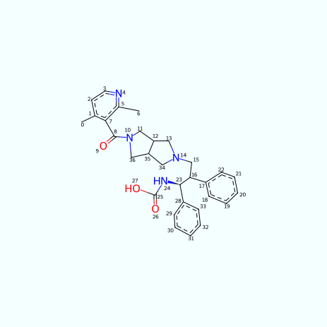 Cc1ccnc(C)c1C(=O)N1CC2CN(CC(c3ccccc3)[C@H](NC(=O)O)c3ccccc3)CC2C1